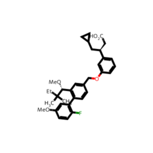 CCC(C)(C)[C@H](OC)c1cc(COc2cccc([C@H](CC(=O)O)CC3CC3)c2)ccc1-c1cc(OC)ccc1F